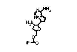 BC1CC(COC(=O)C(C)C)OC1c1ccc2c(N)ncnn12